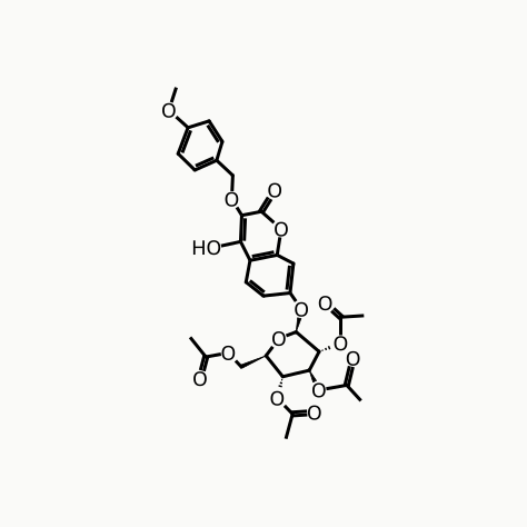 COc1ccc(COc2c(O)c3ccc(O[C@@H]4O[C@H](COC(C)=O)[C@@H](OC(C)=O)[C@H](OC(C)=O)[C@H]4OC(C)=O)cc3oc2=O)cc1